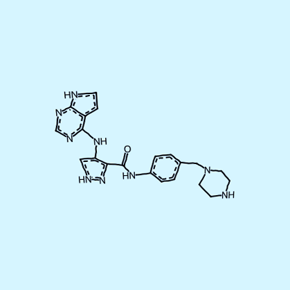 O=C(Nc1ccc(CN2CCNCC2)cc1)c1n[nH]cc1Nc1ncnc2[nH]ccc12